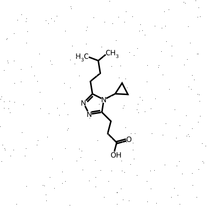 CC(C)CCc1nnc(CCC(=O)O)n1C1CC1